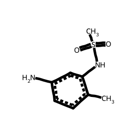 Cc1ccc(N)cc1NS(C)(=O)=O